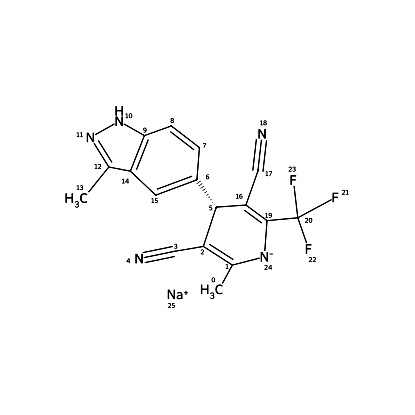 CC1=C(C#N)[C@H](c2ccc3[nH]nc(C)c3c2)C(C#N)=C(C(F)(F)F)[N-]1.[Na+]